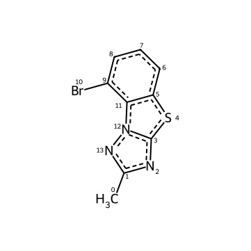 Cc1nc2sc3cccc(Br)c3n2n1